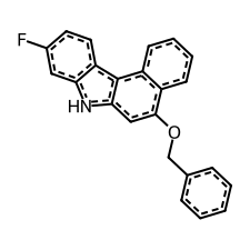 Fc1ccc2c(c1)[nH]c1cc(OCc3ccccc3)c3ccccc3c12